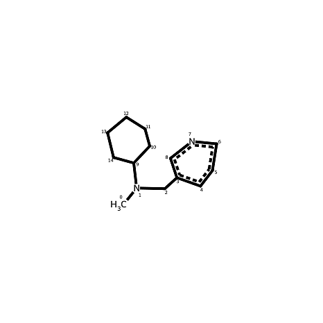 CN(Cc1cccnc1)C1CCCCC1